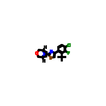 CC(C)(C)c1c(-c2csc(N3[C@@H]4CC[C@H]3COC4)n2)ccc(Cl)c1F